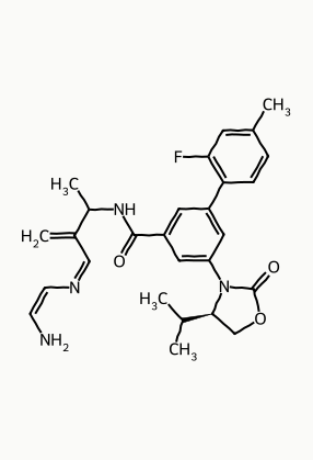 C=C(/C=N\C=C/N)C(C)NC(=O)c1cc(-c2ccc(C)cc2F)cc(N2C(=O)OC[C@H]2C(C)C)c1